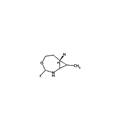 CC1C2NC(I)OCC[C@H]12